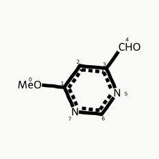 COc1cc(C=O)ncn1